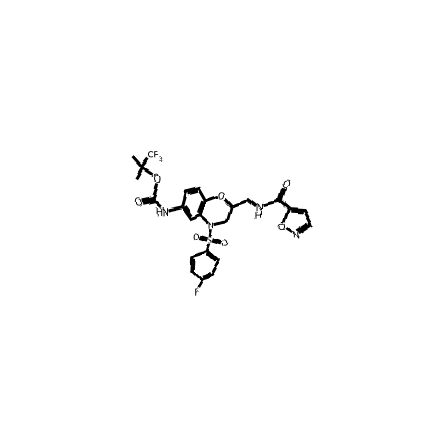 CC(C)(OC(=O)Nc1ccc2c(c1)N(S(=O)(=O)c1ccc(F)cc1)CC(CNC(=O)c1ccno1)O2)C(F)(F)F